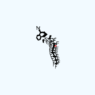 CCS(CC)(OS(=O)(=O)C(F)(F)C(F)(F)C(F)(F)C(F)(F)C(F)(F)C(F)(F)C(F)(F)C(F)(F)F)c1ccc(C#N)c2ccccc12